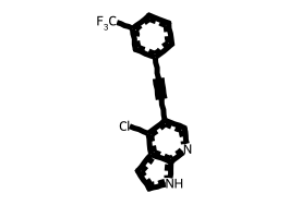 FC(F)(F)c1cccc(C#Cc2cnc3[nH]ccc3c2Cl)c1